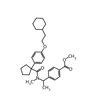 COC(=O)c1ccc(C(C)N(C)C(=O)C2(c3ccc(OCCC4CCCCC4)cc3)CCCC2)cc1